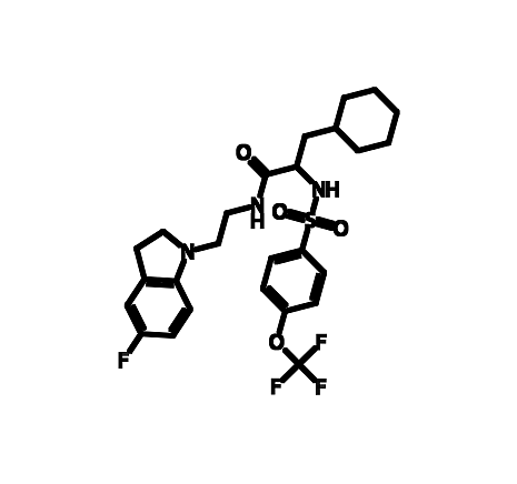 O=C(NCCN1CCc2cc(F)ccc21)C(CC1CCCCC1)NS(=O)(=O)c1ccc(OC(F)(F)F)cc1